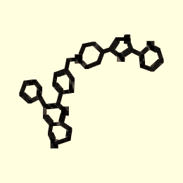 c1ccc(-c2cc3cnccc3nc2-c2ccc(CN3CCC(c4csc(-c5ccccn5)n4)CC3)cc2)cc1